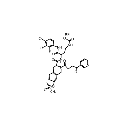 CC(C)(C)OC(=O)NCCC(NC(=O)C1Cc2ccc(OS(C)(=O)=O)cc2CN1C(=O)CCC(=O)c1ccccc1)C(=O)Nc1ccc(Cl)c(Cl)c1F